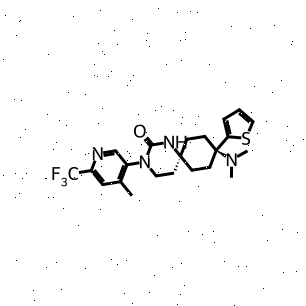 Cc1cc(C(F)(F)F)ncc1N1CC[C@]2(CC[C@](c3cccs3)(N(C)C)CC2)NC1=O